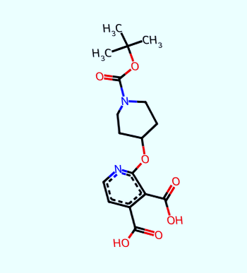 CC(C)(C)OC(=O)N1CCC(Oc2nccc(C(=O)O)c2C(=O)O)CC1